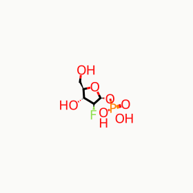 O=P(O)(O)O[C@H]1O[C@H](CO)[C@@H](O)[C@@H]1F